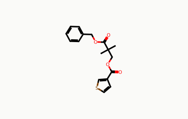 CC(C)(COC(=O)c1ccsc1)C(=O)OCc1ccccc1